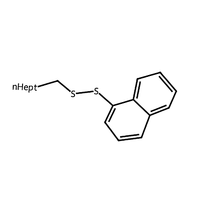 CCCCCCCCSSc1cccc2ccccc12